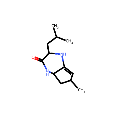 CC(C)CC1NC2=CC(C)CC2NC1=O